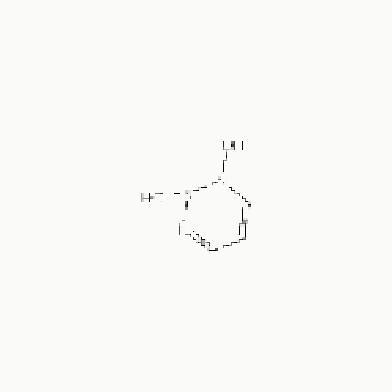 Cl.ON1C=CC=NN1